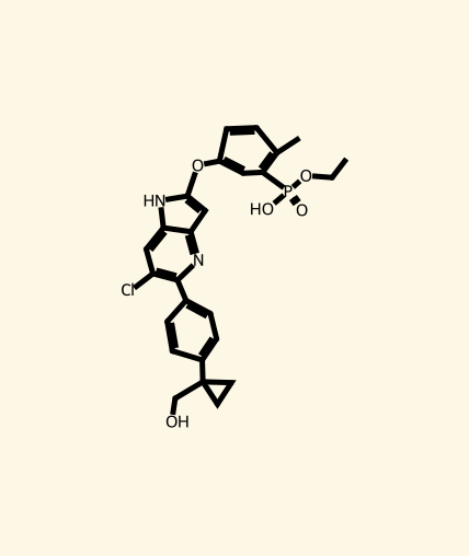 CCOP(=O)(O)c1cc(Oc2cc3nc(-c4ccc(C5(CO)CC5)cc4)c(Cl)cc3[nH]2)ccc1C